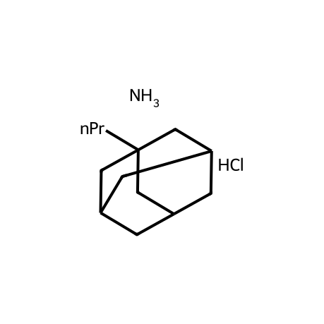 CCCC12CC3CC(CC(C3)C1)C2.Cl.N